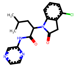 CC(C)CC(C(=O)Nc1cnccn1)N1C(=O)Cc2c(Cl)cccc21